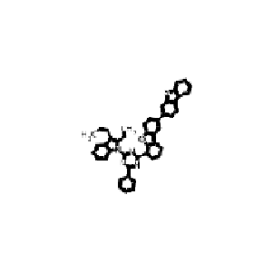 C=Cc1c(/C=C\C)c2ccccc2n1-c1nc(-c2ccccc2)nc(-c2cccc3c2oc2ccc(-c4ccc5c(c4)sc4ccccc45)cc23)n1